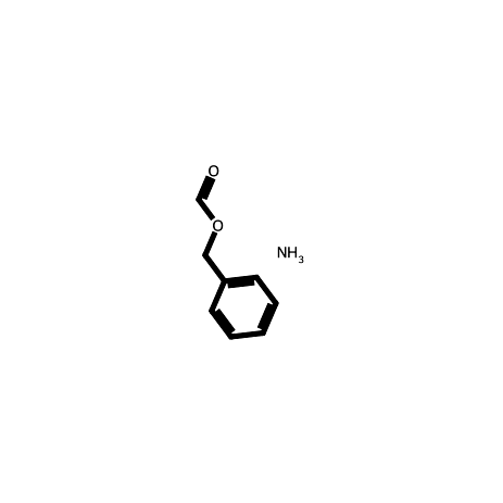 N.O=COCc1ccccc1